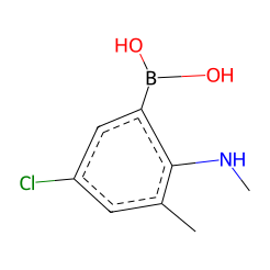 CNc1c(C)cc(Cl)cc1B(O)O